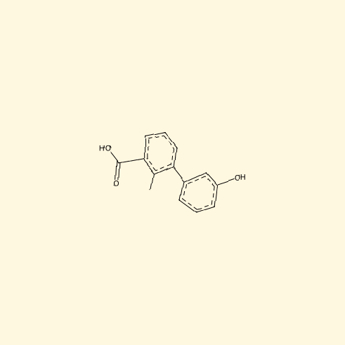 Cc1c(C(=O)O)cccc1-c1cccc(O)c1